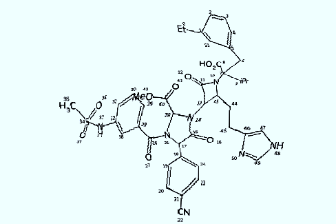 CCc1cccc(CC(C(=O)O)(C(C)C)N2C(=O)C(N3C(=O)C(c4ccc(C#N)cc4)N(C(=O)c4cccc(NS(C)(=O)=O)c4)C3C(=O)OC)C2CCc2c[nH]cn2)c1